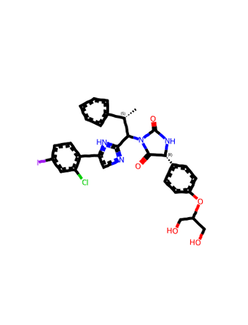 C[C@@H](c1ccccc1)C(c1ncc(-c2ccc(I)cc2Cl)[nH]1)N1C(=O)N[C@H](c2ccc(OC(CO)CO)cc2)C1=O